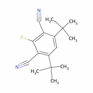 CC(C)(C)c1cc(C(C)(C)C)c(C#N)c(F)c1C#N